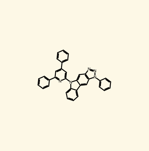 c1ccc(-c2cc(-c3ccccc3)nc(-n3c4ccccc4c4cc5c(cc43)nnn5-c3ccccc3)c2)cc1